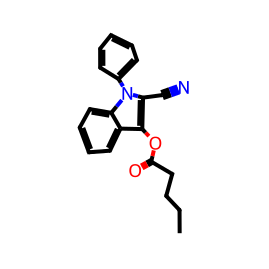 CCCCC(=O)Oc1c(C#N)n(-c2ccccc2)c2ccccc12